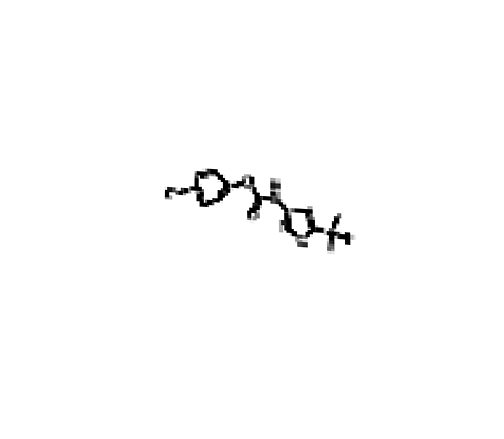 CC(C)(F)c1cc(NC(=O)Oc2ccc(Cl)cc2)no1